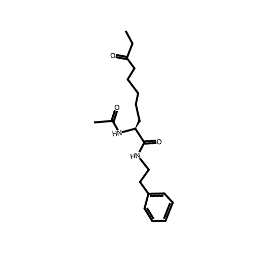 CCC(=O)CCCCC[C@H](NC(C)=O)C(=O)NCCc1ccccc1